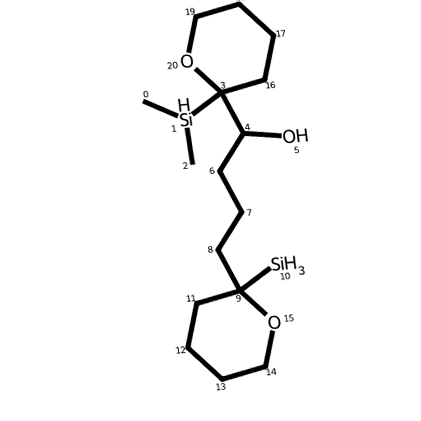 C[SiH](C)C1(C(O)CCCC2([SiH3])CCCCO2)CCCCO1